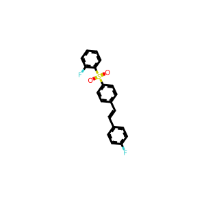 O=S(=O)(c1ccc(/C=C/c2ccc(F)cc2)cc1)c1ccccc1F